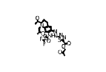 CC(=O)COC(=O)c1nnc(N=Nc2cc3c(cc2NS(=O)(=O)C(F)F)N(CC(C)=O)C(C(C)=O)CC3)s1